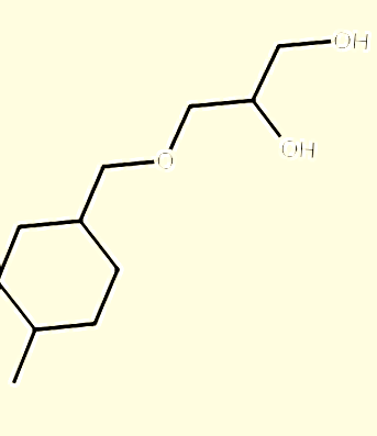 CC1CCC(COCC(O)CO)CC1